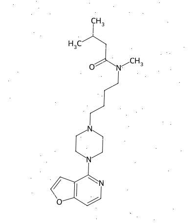 CC(C)CC(=O)N(C)CCCCN1CCN(c2nccc3occc23)CC1